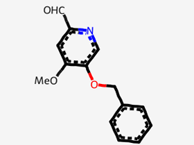 COc1cc(C=O)ncc1OCc1ccccc1